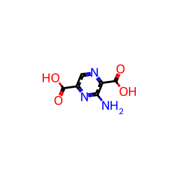 Nc1nc(C(=O)O)cnc1C(=O)O